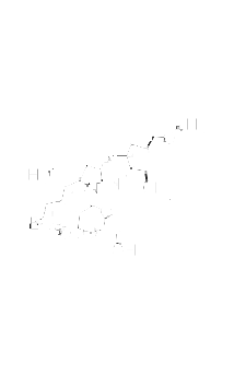 C=C[C@@H](F)C(C/C=C/OC)S[C@@H]1CC([C@@H](C)CCCF)N([C@H]2C[C@@H](OC)C[C@@H](CO)O2)C1